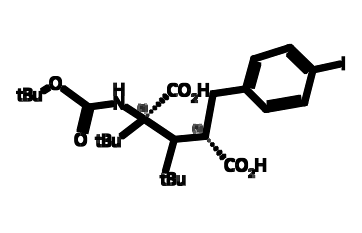 CC(C)(C)OC(=O)N[C@@](C(=O)O)(C([C@H](Cc1ccc(I)cc1)C(=O)O)C(C)(C)C)C(C)(C)C